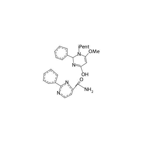 CCCC(C)N1C(OC)=CC(O)=NC1c1ccccc1.NC(=O)c1ccnc(-c2ccccc2)n1